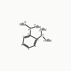 CCCCP(CCCC)c1ccccc1P(CCCC)CCCC